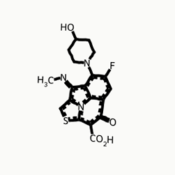 CN=c1c2c(N3CCC(O)CC3)c(F)cc3c(=O)c(C(=O)O)c4scc1n4c32